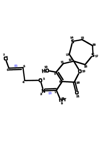 CCC/C(=N/OC/C=C/Cl)C1=C(O)CC2(CSCCSC2)OC1=O